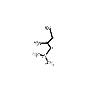 CN(C)CC(N)CC(C)(C)C